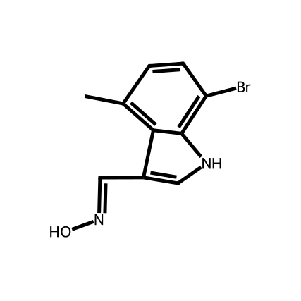 Cc1ccc(Br)c2[nH]cc(C=NO)c12